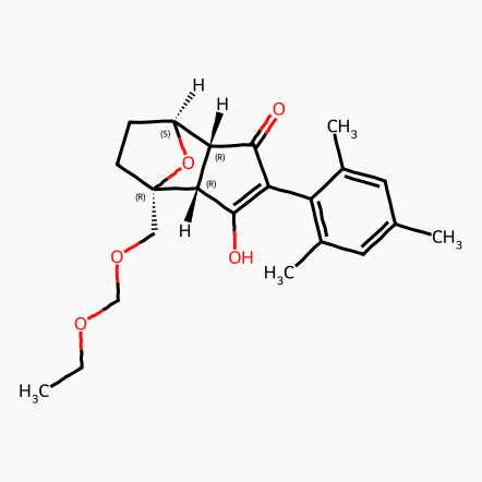 CCOCOC[C@]12CC[C@H](O1)[C@@H]1C(=O)C(c3c(C)cc(C)cc3C)=C(O)[C@@H]12